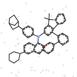 CC1(C)c2ccccc2-c2c(-c3ccccc3-c3ccccc3)cc(N(c3ccc(C4CC5CCC4C5)cc3)c3cccc4cc(C5CCCCC5)ccc34)cc21